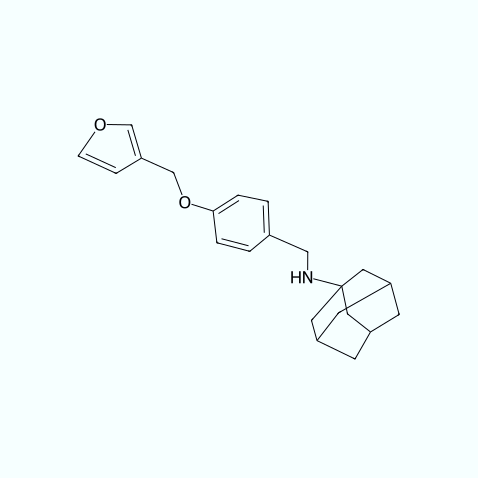 c1cc(COc2ccc(CNC34CC5CC(CC(C5)C3)C4)cc2)co1